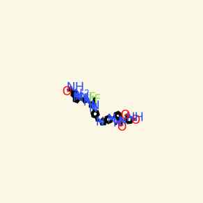 Cn1c(=O)n(C2CCC(=O)NC2=O)c2cccc(N3CCC4(CCN(CC5CCC(n6cc(-n7cc(-c8ccc9cc(C(N)=O)cnn89)nn7)c(C(F)F)n6)CC5)C4)CC3)c21